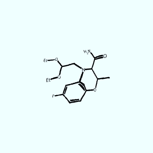 CCOC(CN1c2cc(F)ccc2OC(C)C1C(N)=O)OCC